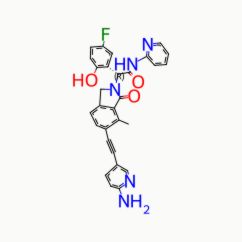 Cc1c(C#Cc2ccc(N)nc2)ccc2c1C(=O)N([C@@H](C(=O)Nc1ccccn1)c1cc(F)ccc1O)C2